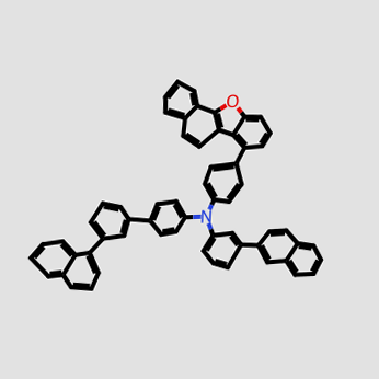 c1cc(-c2ccc(N(c3ccc(-c4cccc5oc6c7ccccc7ccc6c45)cc3)c3cccc(-c4ccc5ccccc5c4)c3)cc2)cc(-c2cccc3ccccc23)c1